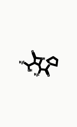 CC(O)C1C(=O)NC1C(C)C(=O)N1CCCC1